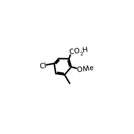 COc1c(C)cc(Cl)cc1C(=O)O